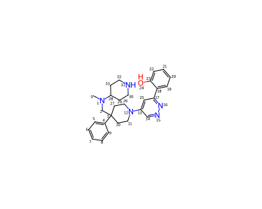 CN(CC1(c2ccccc2)CCN(c2cnnc(-c3ccccc3O)c2)CC1)C1CCNCC1